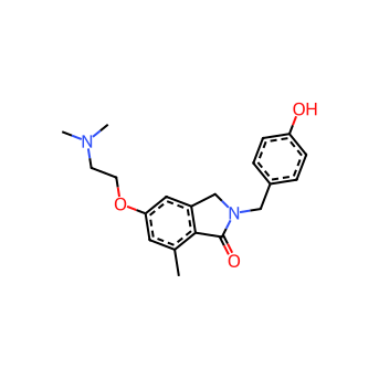 Cc1cc(OCCN(C)C)cc2c1C(=O)N(Cc1ccc(O)cc1)C2